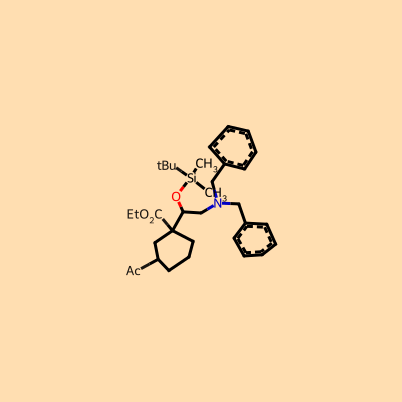 CCOC(=O)C1(C(CN(Cc2ccccc2)Cc2ccccc2)O[Si](C)(C)C(C)(C)C)CCCC(C(C)=O)C1